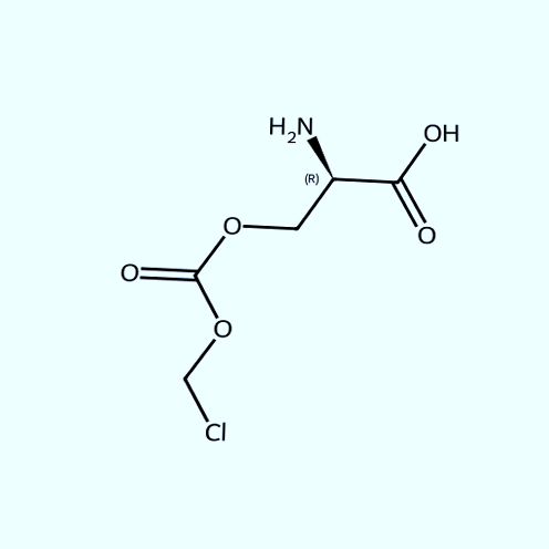 N[C@H](COC(=O)OCCl)C(=O)O